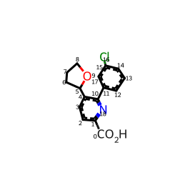 O=C(O)c1ccc(C2CCCO2)c(-c2cccc(Cl)c2)n1